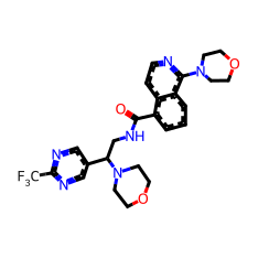 O=C(NCC(c1cnc(C(F)(F)F)nc1)N1CCOCC1)c1cccc2c(N3CCOCC3)nccc12